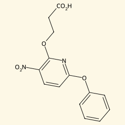 O=C(O)CCOc1nc(Oc2ccccc2)ccc1[N+](=O)[O-]